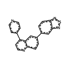 c1cc(-c2ccnc3ccc(-c4ccc5nsnc5c4)cc23)ccn1